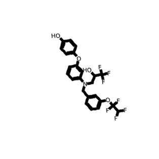 Oc1ccc(Oc2cccc(N(Cc3cccc(OC(F)(F)C(F)F)c3)CC(O)C(F)(F)F)c2)cc1